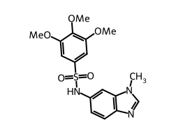 COc1cc(S(=O)(=O)Nc2ccc3ncn(C)c3c2)cc(OC)c1OC